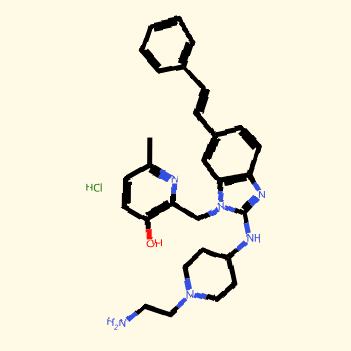 Cc1ccc(O)c(Cn2c(NC3CCN(CCN)CC3)nc3ccc(C=Cc4ccccc4)cc32)n1.Cl